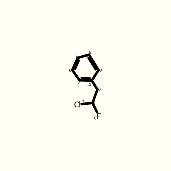 FC(Cl)Cc1ccccc1